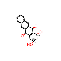 C[C@]1(O)CC2=C(C(=O)c3cc4ccccc4cc3C2=O)[C@@H](O)C1